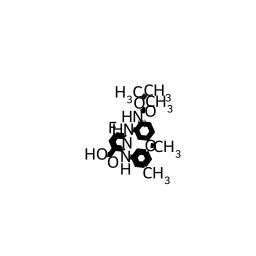 COc1cc(C)cc(Nc2nc(NC3CCCC[C@@H]3NC(=O)OC(C)(C)C)c(F)cc2C(=O)O)c1